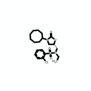 CCN(C[C@@H]1CN(C2CCCCCCC2)C(=O)O1)S(=O)(=O)c1ccccc1Cl